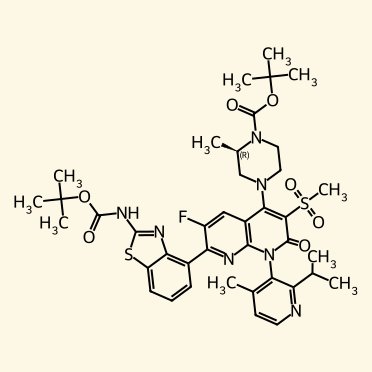 Cc1ccnc(C(C)C)c1-n1c(=O)c(S(C)(=O)=O)c(N2CCN(C(=O)OC(C)(C)C)[C@H](C)C2)c2cc(F)c(-c3cccc4sc(NC(=O)OC(C)(C)C)nc34)nc21